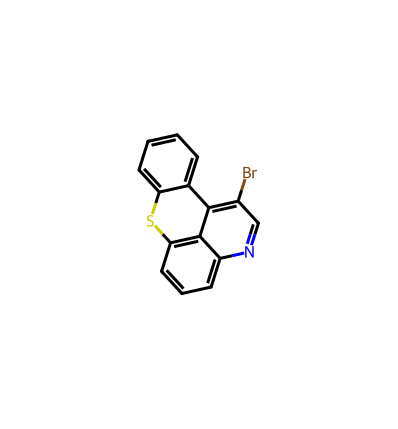 Brc1cnc2cccc3c2c1-c1ccccc1S3